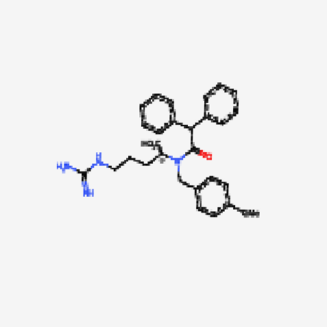 COc1ccc(CN(C(=O)C(c2ccccc2)c2ccccc2)[C@@H](CCCNC(=N)N)C(=O)O)cc1